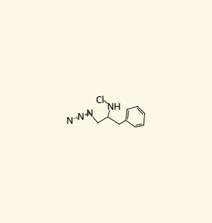 [N-]=[N+]=NCC(Cc1ccccc1)NCl